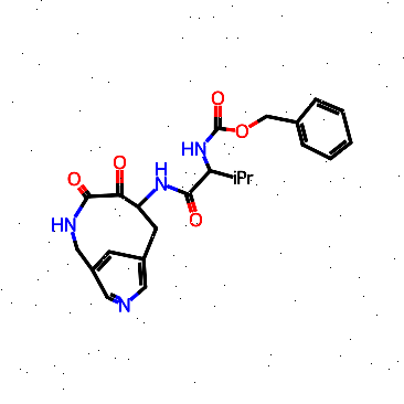 CC(C)C(NC(=O)OCc1ccccc1)C(=O)NC1Cc2cncc(c2)CNC(=O)C1=O